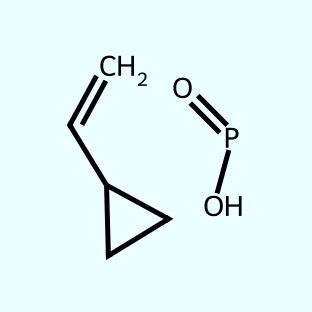 C=CC1CC1.O=PO